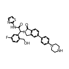 O=C(Nc1nccs1)C(c1cc(F)ccc1CO)N1Cc2cc(-c3ccc(N4CCNCC4)cc3)ccc2C1=O